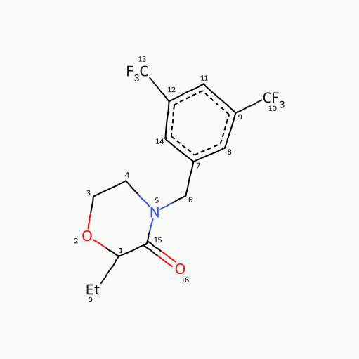 CCC1OCCN(Cc2cc(C(F)(F)F)cc(C(F)(F)F)c2)C1=O